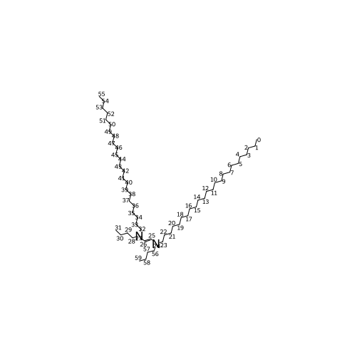 CCCCCCCCCCCCCCCCCCCCCCCCN(C=CN(CCCC)CCCCCCCCCCCCCCCCCCCCCCCC)CCCC